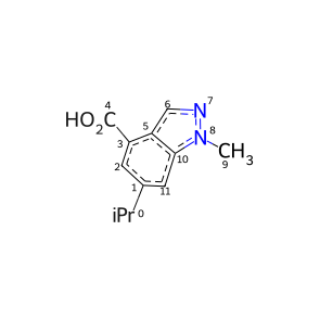 CC(C)c1cc(C(=O)O)c2cnn(C)c2c1